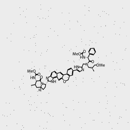 COC[C@@H](C)CN(Cc1ncc(-c2ccc3c(c2)COc2cc4c(ccc5nc([C@@H]6CC[C@@H]7CC(C)[C@H](NC(=O)OC)C(=O)N76)[nH]c54)cc2-3)[nH]1)C(=O)[C@H](NC(=O)OC)c1ccccc1